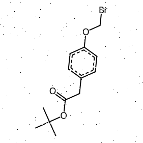 CC(C)(C)OC(=O)Cc1ccc(OCBr)cc1